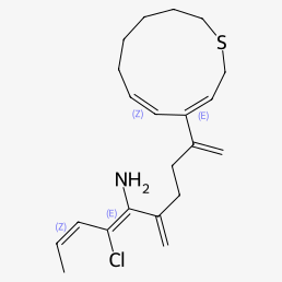 C=C(CCC(=C)/C(N)=C(Cl)/C=C\C)C1=C/CSCCCCC/C=C\1